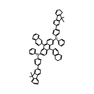 CC1(C)C2=C(C=CCC2)c2ccc(-c3ccc(N(c4ccccc4)c4ccc5c(-c6ccc7ccccc7c6)c6cc(N(c7ccccc7)c7ccc(-c8ccc9c(c8)C(C)(C)c8ccccc8-9)cc7)ccc6c(-c6ccc7c(c6)CCC=C7)c5c4)cc3)cc21